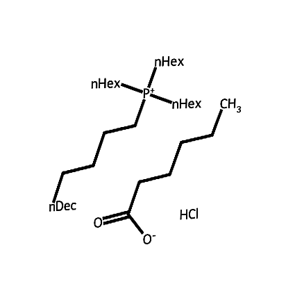 CCCCCC(=O)[O-].CCCCCCCCCCCCCC[P+](CCCCCC)(CCCCCC)CCCCCC.Cl